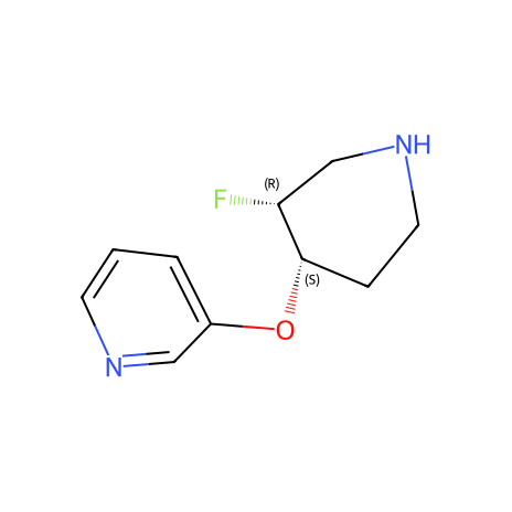 F[C@@H]1CNCC[C@@H]1Oc1cccnc1